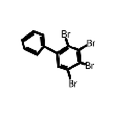 Brc1cc(-c2ccccc2)c(Br)c(Br)c1Br